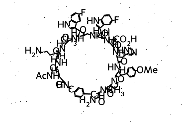 COc1ccc(C[C@@H]2NC(=O)[C@H](Cc3cnc[nH]3)NC(=O)[C@H](CC(=O)O)NC(=O)[C@H](Cc3c[nH]c4ccc(F)cc34)NCC(=O)[C@H](Cc3c[nH]c4ccc(F)cc34)NC(=O)[C@@H](C)NC(=O)[C@H](CCCCN)NC(=O)[C@@H](NC(C)=O)CC(=O)NCc3ccc(cc3)C[C@@H](C(N)=O)NC(=O)[C@]3(C)CCCN3C2=O)cc1